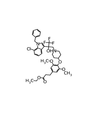 CCOC(=O)CCc1cc(OC)c(OC2CCN(CC(O)(c3cn(Cc4ccccc4)c4c(Cl)cccc34)C(F)(F)F)CC2)c(OC)c1